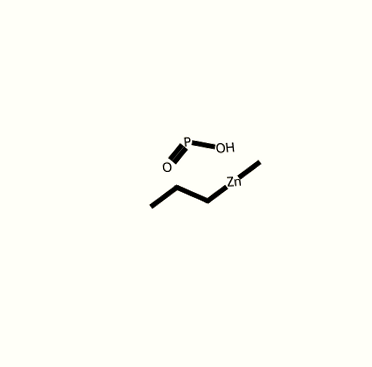 CC[CH2][Zn][CH3].O=PO